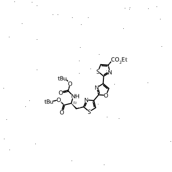 CCOC(=O)c1csc(-c2coc(-c3csc(C[C@H](NC(=O)OC(C)(C)C)C(=O)OC(C)(C)C)n3)n2)n1